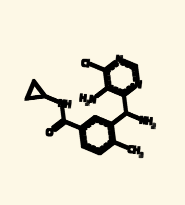 Cc1ccc(C(=O)NC2CC2)cc1C(N)c1ncnc(Cl)c1N